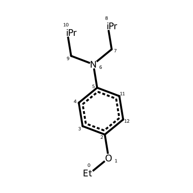 CCOc1ccc(N(CC(C)C)CC(C)C)cc1